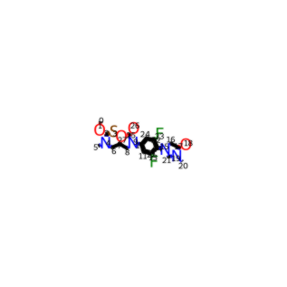 COC(=S)N(C)CC1CN(c2cc(F)c(N3CC(=O)N(C)C3)c(F)c2)C(=O)O1